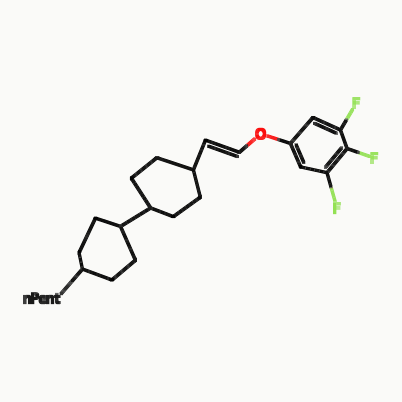 CCCCCC1CCC(C2CCC(C=COc3cc(F)c(F)c(F)c3)CC2)CC1